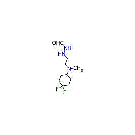 CN(CCNNC=O)C1CCC(F)(F)CC1